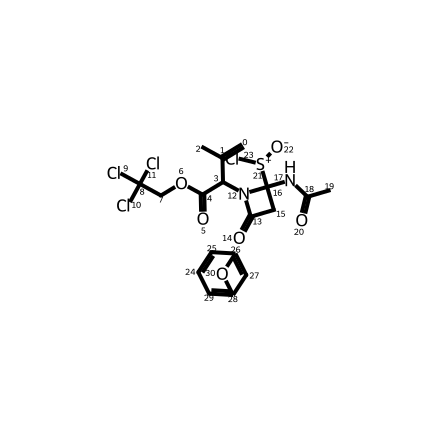 C=C(C)C(C(=O)OCC(Cl)(Cl)Cl)N1C(=O)CC1(NC(C)=O)[S+]([O-])Cl.c1cc2cc(c1)O2